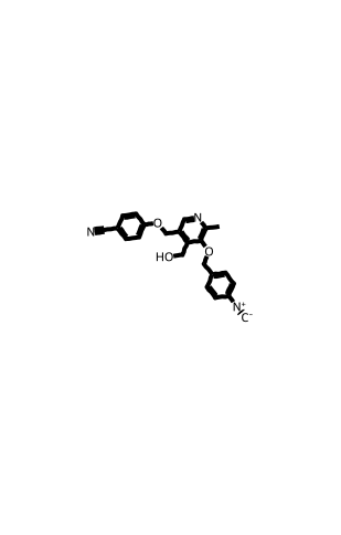 [C-]#[N+]c1ccc(COc2c(C)ncc(COc3ccc(C#N)cc3)c2CO)cc1